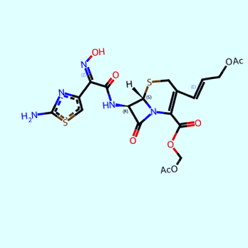 CC(=O)OC/C=C/C1=C(C(=O)OCOC(C)=O)N2C(=O)[C@@H](NC(=O)/C(=N\O)c3csc(N)n3)[C@@H]2SC1